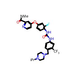 CNC(=O)c1cc(Oc2ccc(NC(=O)Nc3ccc(CN4CCN(C(C)C)CC4)c(C(F)(F)F)c3)c(F)c2)ccn1